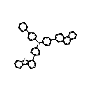 c1ccc(-c2ccc(N(c3ccc(-c4ccc5c(ccc6ccccc65)c4)cc3)c3ccc(-c4cccc5c4oc4ccccc45)cc3)cc2)cc1